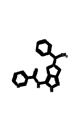 CC(c1ccccc1)N1Cc2n[nH]c(NC(=O)c3cccnc3)c2C1